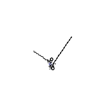 C#CC#CC#CC#CC#CC#CC#CC#CC#CC#CC#C[n+]1c(/C=C2\Cc3ccccc3N2CCCCCCCCCCCCCC)sc2ccccc21